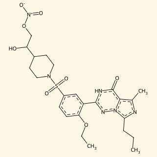 CCCc1nc(C)c2c(=O)[nH]c(-c3cc(S(=O)(=O)N4CCC(C(O)CO[N+](=O)[O-])CC4)ccc3OCC)nn12